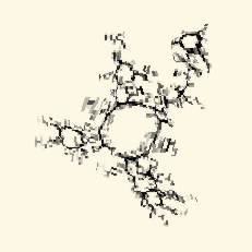 CO/N=C1\C[C@@H](C)O[C@@H](O[C@@H]2[C@@H](C)[C@H](O[C@H]3CC(C)N(C)C[C@H](C)O3)[C@@H](C)C(=O)O[C@H]([C@@H](C)CO[C@@H]3O[C@H](C)[C@@H](O)[C@@H](OC)[C@H]3OC)[C@H](C)[C@@H](OC(=O)CC(C)C)[C@@H](C)C(=O)[C@@](C)(OC(=O)NC(C)(C)CNS(=O)(=O)c3c(F)cc(F)cc3F)C[C@@H]2C)[C@@H]1O